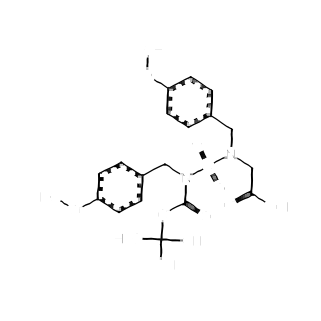 COc1ccc(CN(CC(=O)O)S(=O)(=O)N(Cc2ccc(OC)cc2)C(=O)OC(C)(C)C)cc1